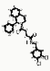 O=C(CCC(=O)N1CCc2ccccc2C1c1ccccc1)NCc1ccc(Cl)c(Cl)c1